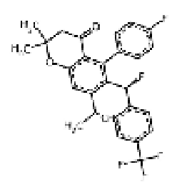 CC(C)c1cc2c(c(-c3ccc(F)cc3)c1[C@@H](F)c1ccc(C(F)(F)F)cc1)C(=O)CC(C)(C)O2